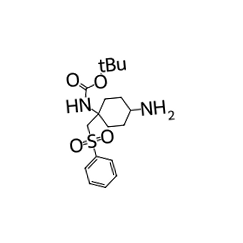 CC(C)(C)OC(=O)NC1(CS(=O)(=O)c2ccccc2)CCC(N)CC1